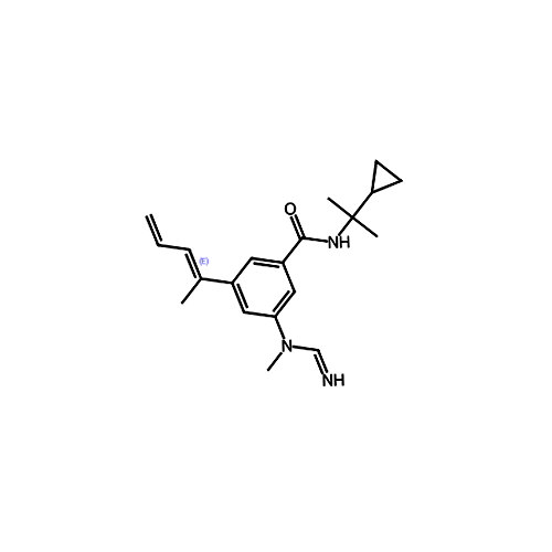 C=C/C=C(\C)c1cc(C(=O)NC(C)(C)C2CC2)cc(N(C)C=N)c1